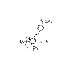 CCCCSCc1cc2c(cc1/C=C/c1ccc(C(=O)OC)cc1)C(C)(C)CCC2(C)C